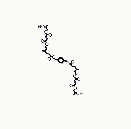 CC(O)COC(=O)/C=C/C(=O)OCCC(C)CCC(=O)OCc1ccc(COC(=O)CCC(C)CCOC(=O)/C=C/C(=O)OCC(C)O)cc1